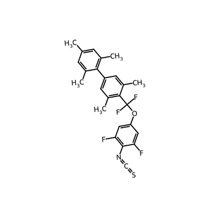 Cc1cc(C)c(-c2cc(C)c(C(F)(F)Oc3cc(F)c(N=C=S)c(F)c3)c(C)c2)c(C)c1